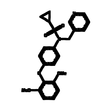 COc1cccc(OC)c1Oc1ccc(N(Cc2cccnc2)S(=O)(=O)C2CC2)cc1